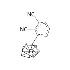 N#Cc1cccc([C]23[CH]4[CH]5[CH]6[CH]2[Fe]56432789[CH]3[CH]2[CH]7[CH]8[CH]39)c1C#N